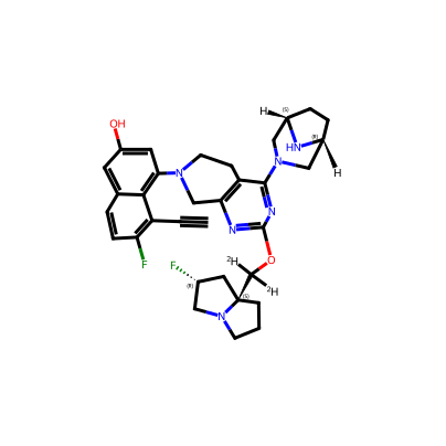 [2H]C([2H])(Oc1nc2c(c(N3C[C@H]4CC[C@@H](C3)N4)n1)CCN(c1cc(O)cc3ccc(F)c(C#C)c13)C2)[C@@]12CCCN1C[C@H](F)C2